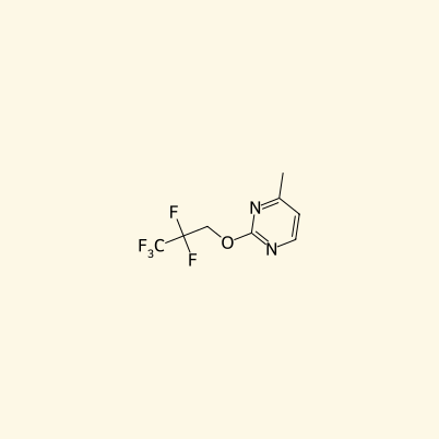 Cc1ccnc(OCC(F)(F)C(F)(F)F)n1